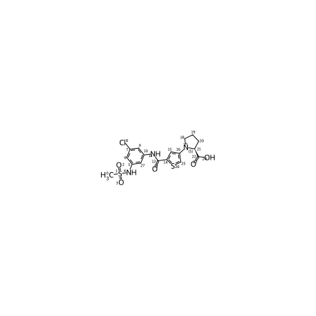 CS(=O)(=O)Nc1cc(Cl)cc(NC(=O)c2cc(N3CCC[C@H]3C(=O)O)cs2)c1